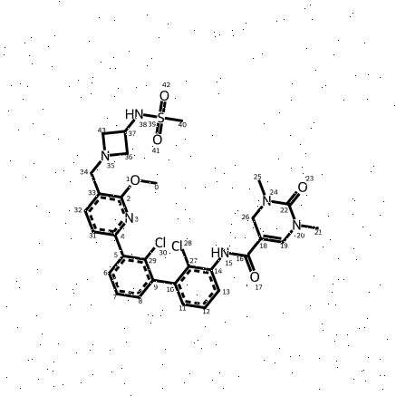 COc1nc(-c2cccc(-c3cccc(NC(=O)C4=CN(C)C(=O)N(C)C4)c3Cl)c2Cl)ccc1CN1CC(NS(C)(=O)=O)C1